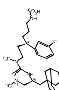 CN(CC[C@@H](CCCNC(=O)O)c1cccc(Cl)c1)C(=O)N[C@H](CNO)CC12CC3CC(CC(C3)C1)C2